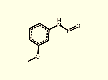 COc1cccc(NP=O)c1